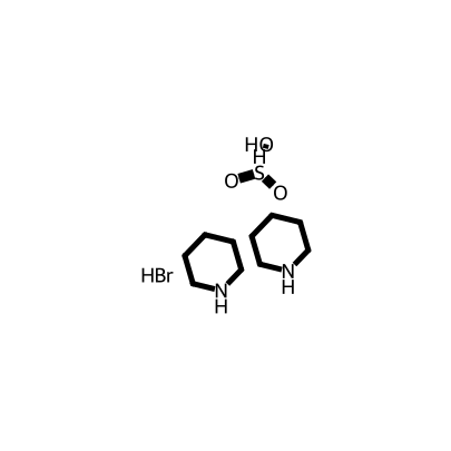 Br.C1CCNCC1.C1CCNCC1.O=[SH](=O)O